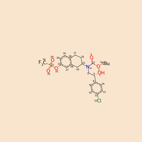 CC(C)(C)OC(=O)N(C[C@H](O)c1ccc(Cl)cc1)C1CCc2ccc(OS(=O)(=O)C(F)(F)F)cc2C1